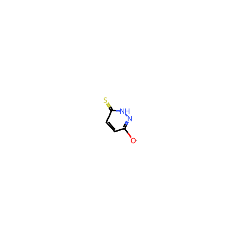 [O]c1ccc(=S)[nH]n1